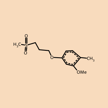 COc1cc(OCCCS(C)(=O)=O)ccc1C